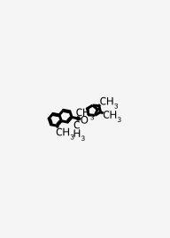 Cc1cccc2ccc(C(C)(C)OC3CC4CC3C(C)C4C)cc12